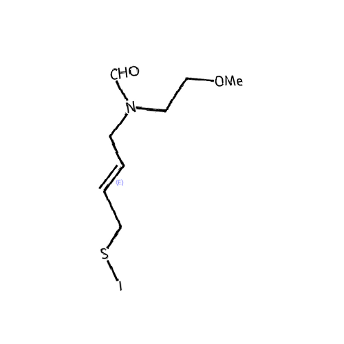 COCCN(C=O)C/C=C/CSI